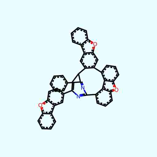 C1=C(c2ccc3oc4ccccc4c3c2)N=C2N=C(c3ccccc3)C1c1cc3c(cc1-c1cccc4oc5cccc2c5c14)oc1ccccc13